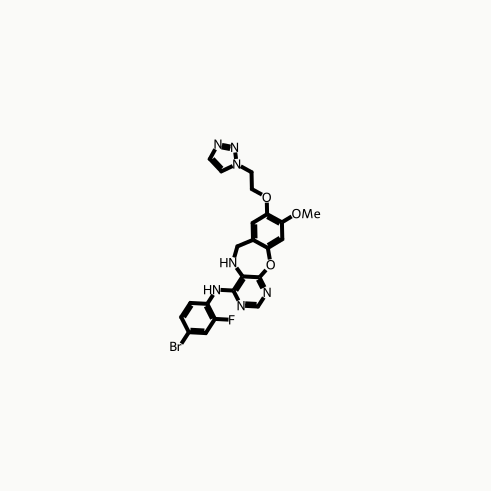 COc1cc2c(cc1OCCn1ccnn1)CNc1c(Nc3ccc(Br)cc3F)ncnc1O2